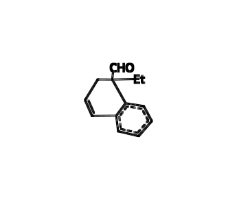 CCC1(C=O)CC=Cc2ccccc21